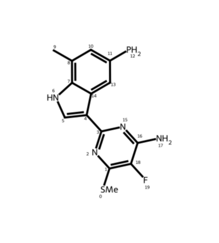 CSc1nc(-c2c[nH]c3c(C)cc(P)cc23)nc(N)c1F